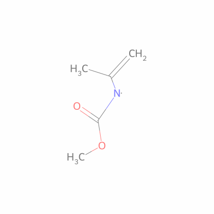 C=C(C)[N]C(=O)OC